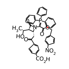 C[C@@H](O)[C@H]1C(=O)N(C(C(=O)OCc2ccc([N+](=O)[O-])cc2)=P(c2ccccc2)(c2ccccc2)c2ccccc2)[C@@H]1CC(=O)c1ccc(C(=O)O)cc1